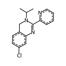 CC(C)N1Cc2ccc(Cl)cc2N=C1c1ccccn1